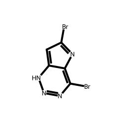 Brc1cc2[nH]nnc(Br)c-2n1